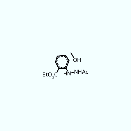 CCOC(=O)c1ccccc1NNC(C)=O.CO